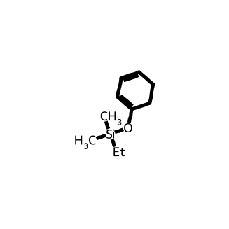 CC[Si](C)(C)OC1=CC=CCC1